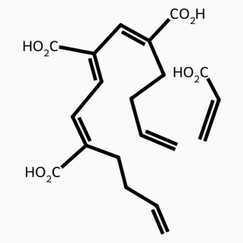 C=CC(=O)O.C=CCCC(=CC=C(C=C(CCC=C)C(=O)O)C(=O)O)C(=O)O